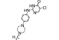 CN1CCN(c2ccc(Nc3ncc(Cl)c(=O)[nH]3)cc2)CC1